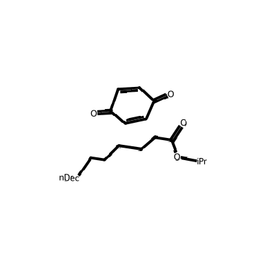 CCCCCCCCCCCCCCCC(=O)OC(C)C.O=C1C=CC(=O)C=C1